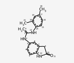 C=C(Nc1ccc2c(c1)CC(=O)N2)Nc1ccc(C)cc1C